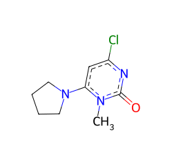 Cn1c(N2CCCC2)cc(Cl)nc1=O